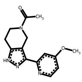 COc1ccnc(-c2n[nH]c3c2CN(C(C)=O)CC3)c1